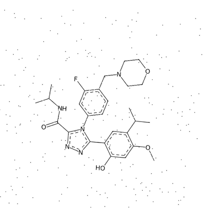 COc1cc(O)c(-c2nnc(C(=O)NC(C)C)n2-c2ccc(CN3CCOCC3)c(F)c2)cc1C(C)C